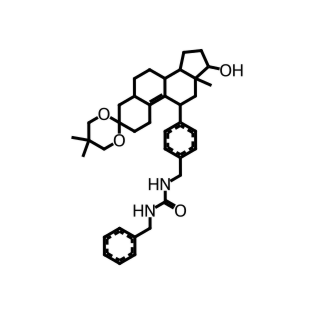 CC1(C)COC2(CCC3=C4C(c5ccc(CNC(=O)NCc6ccccc6)cc5)CC5(C)C(O)CCC5C4CCC3C2)OC1